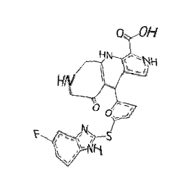 O=C1CNCC2=C1C(c1ccc(Sc3nc4cc(F)ccc4[nH]3)o1)c1c[nH]c(C(=O)O)c1N2